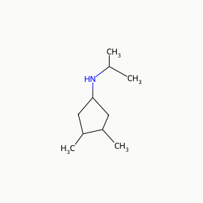 CC(C)NC1CC(C)C(C)C1